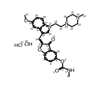 CNC(=O)Oc1ccc2c(c1)C(=O)C(=Cc1cn(CCN3CCN(C)CC3)c3ccc(OC)cc13)O2.Cl.Cl